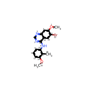 COc1cc2ncnc(Nc3cccc(OC)c3C)c2cc1Br